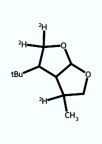 [2H]C1(C)COC2OC([2H])([2H])C(C(C)(C)C)C21